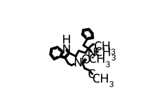 CCCCC(=O)N1CCc2c([nH]c3ccccc23)C1CCC(CC)(Cc1ccccc1)N(C)C